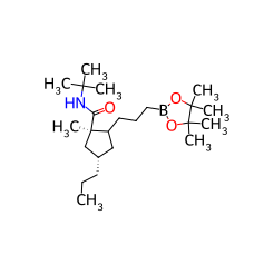 CCC[C@H]1CC(CCCB2OC(C)(C)C(C)(C)O2)[C@](C)(C(=O)NC(C)(C)C)C1